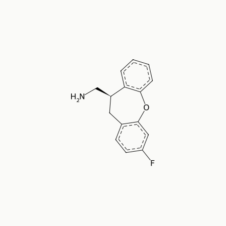 NC[C@@H]1Cc2ccc(F)cc2Oc2ccccc21